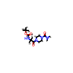 CN(C)C(=O)N1CCN(C(=O)C(C)(C)NC(=O)OC(C)(C)C)CC1